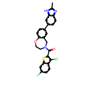 Cc1nc2ccc(-c3ccc4c(c3)CN(C(=O)c3sc5cc(F)ccc5c3Cl)CCO4)cc2[nH]1